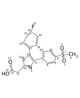 CS(=O)(=O)c1ccc(-c2nc(CC(=O)O)sc2-c2ccc(F)cc2)cc1